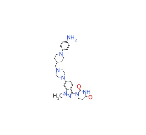 Cn1nc(N2CCC(=O)NC2=O)c2ccc(N3CCN(CC4CCN(c5ccc(N)cc5)CC4)CC3)cc21